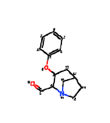 O=[C]C1C(Oc2ccccc2)CC2CCN1C2